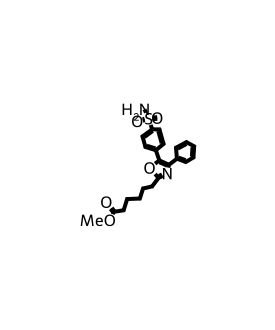 COC(=O)CCCCCc1nc(-c2ccccc2)c(-c2ccc(S(N)(=O)=O)cc2)o1